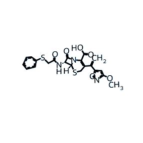 C=C(C1=C(C(=O)O)N2C(=O)[C@@H](NC(=O)CSc3ccccc3)[C@H]2SC1)c1cc(OC)no1